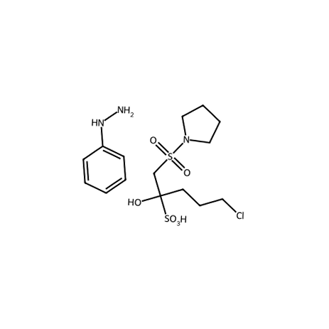 NNc1ccccc1.O=S(=O)(CC(O)(CCCCl)S(=O)(=O)O)N1CCCC1